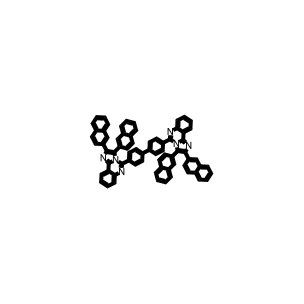 c1ccc2cc(-c3nc4c5ccccc5nc(-c5ccc(-c6ccc(-c7nc8ccccc8c8nc(-c9ccc%10ccccc%10c9)c(-c9ccc%10ccccc%10c9)n78)cc6)cc5)n4c3-c3ccc4ccccc4c3)ccc2c1